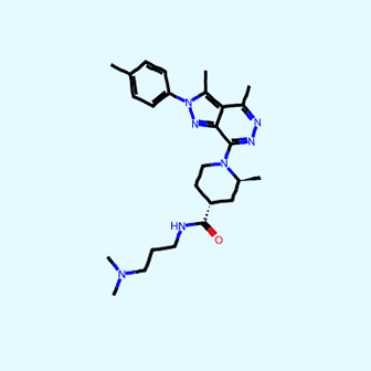 Cc1ccc(-n2nc3c(N4CC[C@@H](C(=O)NCCCN(C)C)C[C@@H]4C)nnc(C)c3c2C)cc1